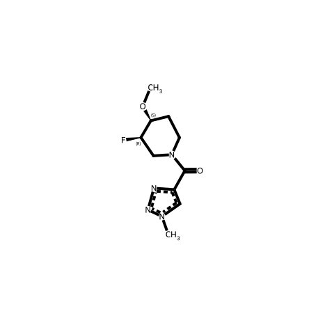 CO[C@H]1CCN(C(=O)c2cn(C)nn2)C[C@H]1F